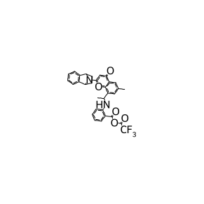 Cc1cc(C(C)Nc2ccccc2C(=O)OC(=O)C(F)(F)F)c2oc(N3C4CCC3c3ccccc34)cc(=O)c2c1